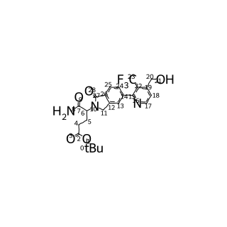 CC(C)(C)OC(=O)CCC(C(N)=O)N1Cc2cc(-c3nccc(CO)c3C(F)(F)F)ccc2C1=O